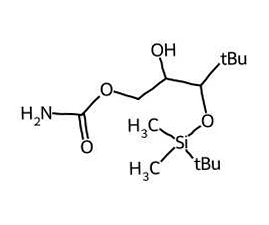 CC(C)(C)C(O[Si](C)(C)C(C)(C)C)C(O)COC(N)=O